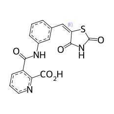 O=C1NC(=O)/C(=C\c2cccc(NC(=O)c3cccnc3C(=O)O)c2)S1